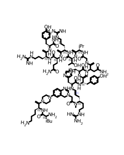 C=C(NCC(=O)N[C@H](C(=C)N[C@H](C(=O)N[C@@H](CCCNC(=N)N)C(=C)N[C@@H](CCC(N)=O)C(=O)N[C@@H](CCCNC(=N)N)C(=C)N[C@@H](Cc1ccc(O)cc1)C(N)=O)C(C)O)C(C)C)C(CC(N)=O)NC(=O)[C@H](CC(C)C)NC(=C)[C@H](Cc1ccc(O)cc1)NC(=O)[C@H](Cc1c[nH]cn1)N/C=C/C[C@H](CCCNC(=N)N)N(C)C(=O)CN1C=Nc2ccc(N3CCN(C(=C)[C@H](CCCCN)NC(=O)[C@@H](N)C(C)CC)CC3)cc2C1